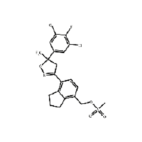 CS(=O)(=O)OCc1ccc(C2=NOC(c3cc(Cl)c(F)c(Cl)c3)(C(F)(F)F)C2)c2c1CCC2